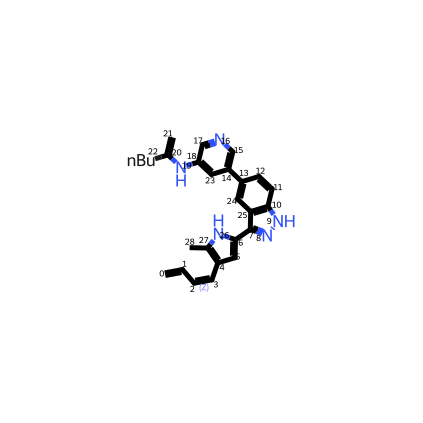 C=C/C=C\c1cc(-c2n[nH]c3ccc(-c4cncc(NC(=C)CCCC)c4)cc23)[nH]c1C